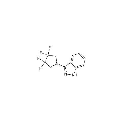 FC1(F)CN(c2n[nH]c3ccccc23)CC1(F)F